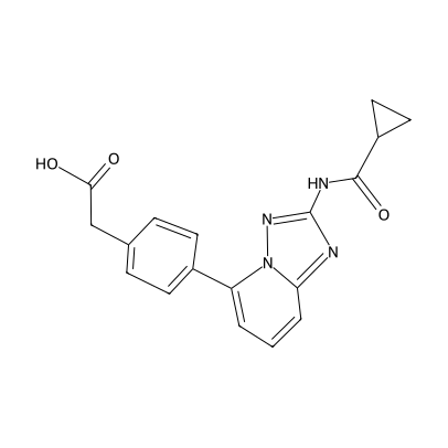 O=C(O)Cc1ccc(-c2cccc3nc(NC(=O)C4CC4)nn23)cc1